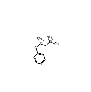 C[C@H](N)C[C@@H](C)Oc1ccccc1